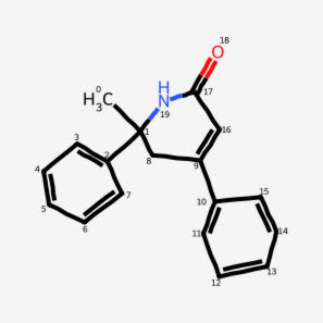 CC1(c2ccccc2)CC(c2ccccc2)=CC(=O)N1